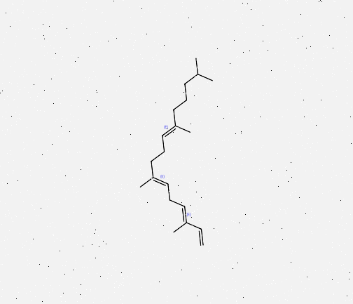 C=C/C(C)=C/C/C=C(\C)CC/C=C(\C)CCCC(C)C